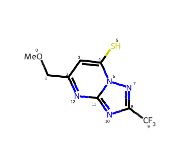 COCc1cc(S)n2nc(C(F)(F)F)nc2n1